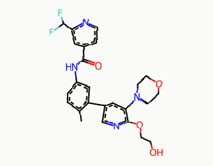 Cc1ccc(NC(=O)c2ccnc(C(F)F)c2)cc1-c1cnc(OCCO)c(N2CCOCC2)c1